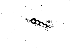 N[C@@H](CC[C@H](Cc1ccc(OCF)cc1)C(=O)O)C(=O)O